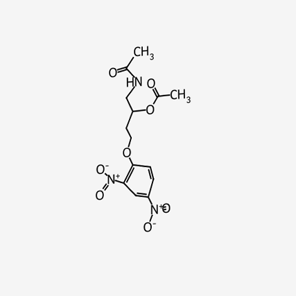 CC(=O)NCC(CCOc1ccc([N+](=O)[O-])cc1[N+](=O)[O-])OC(C)=O